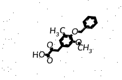 COc1cc(CC(=O)C(=O)O)cc(C)c1OCc1ccccc1